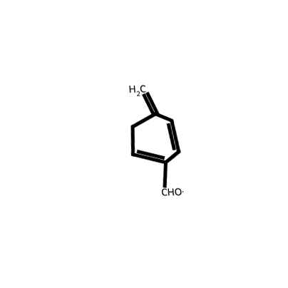 C=C1C=CC([C]=O)=CC1